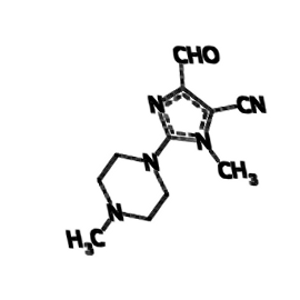 CN1CCN(c2nc(C=O)c(C#N)n2C)CC1